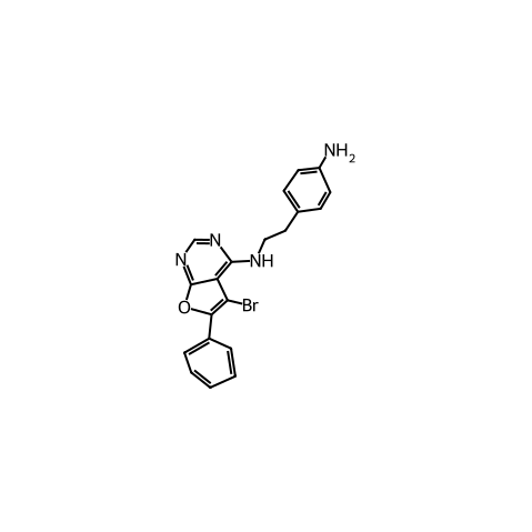 Nc1ccc(CCNc2ncnc3oc(-c4ccccc4)c(Br)c23)cc1